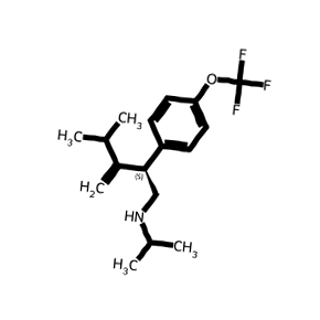 C=C(C(C)C)[C@H](CNC(C)C)c1ccc(OC(F)(F)F)cc1